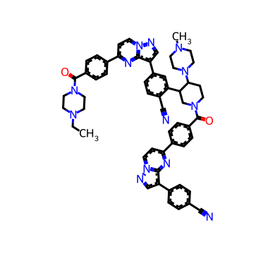 CCN1CCN(C(=O)c2ccc(-c3ccn4ncc(-c5ccc(C#N)c(C6CN(C(=O)c7ccc(-c8ccn9ncc(-c%10ccc(C#N)cc%10)c9n8)cc7)CCC6N6CCN(C)CC6)c5)c4n3)cc2)CC1